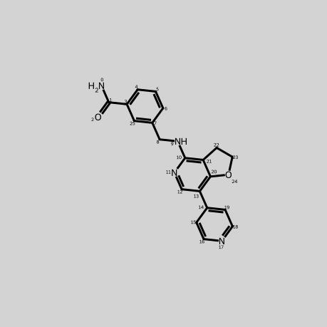 NC(=O)c1cccc(CNc2ncc(-c3ccncc3)c3c2CCO3)c1